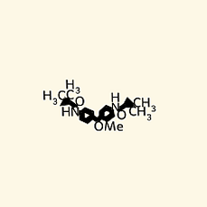 COC(c1ccc(NC(=O)C2CC2(C)C)cc1)c1ccc(NC(=O)C2CC2(C)C)cc1